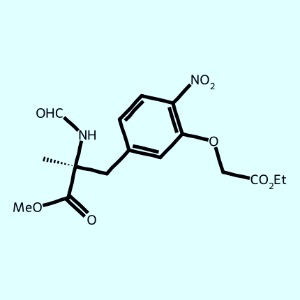 CCOC(=O)COc1cc(C[C@](C)(NC=O)C(=O)OC)ccc1[N+](=O)[O-]